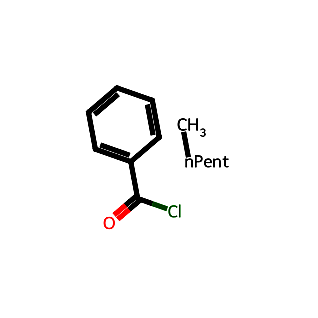 CCCCCC.O=C(Cl)c1ccccc1